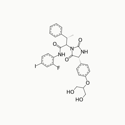 C[C@@H](c1ccccc1)C(C(=O)Nc1ccc(I)cc1F)N1C(=O)N[C@H](c2ccc(OC(CO)CO)cc2)C1=O